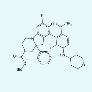 CC(C)(C)OC(=O)N1CCN2c3cc(F)c(Cl)c(C4=C(C(N)=O)C=CC(NC5CCOCC5)C4F)c3CC2(c2ccccc2)C1